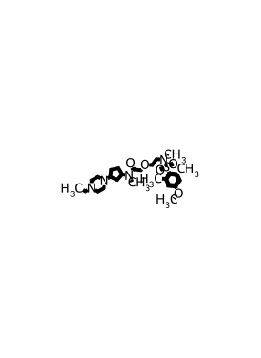 CCN1CCN(C2CCC(N(C)C(=O)COCCN(C)S(=O)(=O)c3c(C)cc(OC)cc3C)C2)CC1